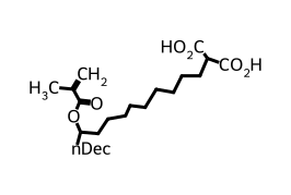 C=C(C)C(=O)OC(CCCCCCCCCC)CCCCCCCCCC(C(=O)O)C(=O)O